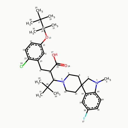 CN1CC2(CCN(C(C(Cc3cc(O[Si](C)(C)C(C)(C)C)ccc3Cl)C(=O)O)C(C)(C)C)CC2)c2cc(F)ccc21